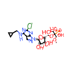 COCC(CO)(OC[C@H]1O[C@@H](n2ncc3c(NCC4CC4)nc(Cl)nc32)[C@H](O)[C@@H]1O)P(=O)(O)O